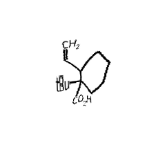 C=CC1CCCCC1(C(=O)O)C(C)(C)C